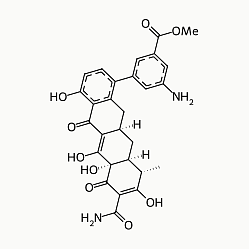 COC(=O)c1cc(N)cc(-c2ccc(O)c3c2C[C@H]2C[C@H]4[C@H](C)C(O)=C(C(N)=O)C(=O)[C@@]4(O)C(O)=C2C3=O)c1